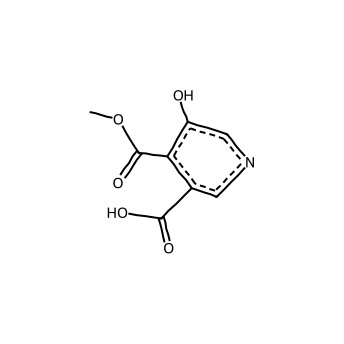 COC(=O)c1c(O)cncc1C(=O)O